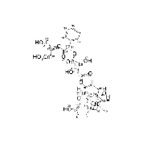 CN1CC[C@]23c4c5ccc(O)c4O[C@H]2C(OC(=O)[C@H](O)[C@@H](O)C(=O)O[C@H](C(=O)O[C@@H](CC(=O)O)C(=O)O)c2ccccc2)=CC[C@@]3(O)[C@H]1C5